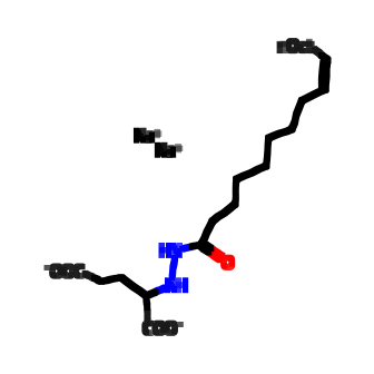 CCCCCCCC/C=C\CCCCCCCC(=O)NNC(CCC(=O)[O-])C(=O)[O-].[Na+].[Na+]